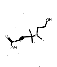 CSC(=O)C#CC(C)(C)N(C)CCO